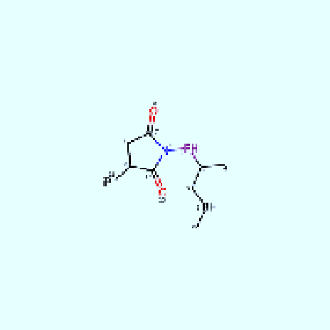 CBCC(C)PN1C(=O)CC(C(C)C)C1=O